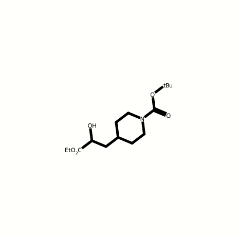 CCOC(=O)C(O)CC1CCN(C(=O)OC(C)(C)C)CC1